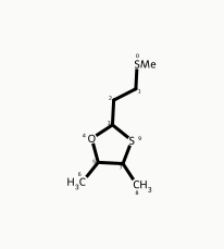 CSCCC1OC(C)C(C)S1